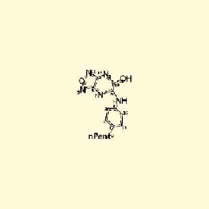 CCCCCc1ccc(Nc2nc3nonc3nc2O)cc1